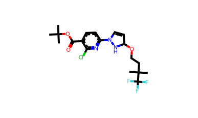 CC(C)(C)OC(=O)c1ccc(N2C=CC(OCCC(C)(C)C(F)(F)F)N2)nc1Cl